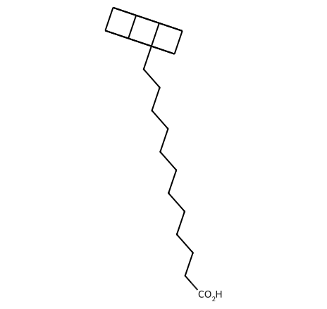 O=C(O)CCCCCCCCCCCC12C3C4C5C3C1C5C42